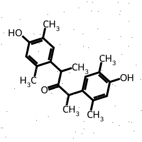 Cc1cc(C(C)C(=O)C(C)c2cc(C)c(O)cc2C)c(C)cc1O